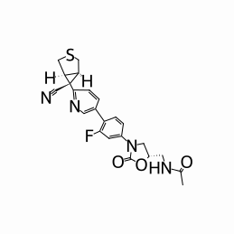 CC(=O)NC[C@H]1CN(c2ccc(-c3ccc([C@@]4(C#N)[C@@H]5CSC[C@@H]54)nc3)c(F)c2)C(=O)O1